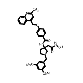 COc1cc(CN2CCC(CC(=O)NO)(NC(=O)c3ccc(OCc4cc(C)nc5ccccc45)cc3)C2)cc(OC)c1